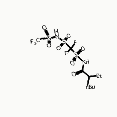 CCCCC(CC)C(=O)NS(=O)(=O)C(F)(F)S(=O)(=O)NS(=O)(=O)C(F)(F)F